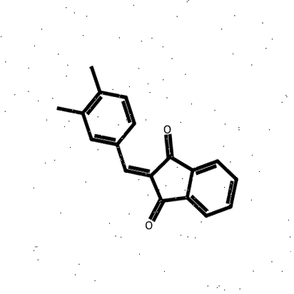 Cc1ccc(C=C2C(=O)c3ccccc3C2=O)cc1C